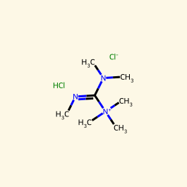 CN=C(N(C)C)[N+](C)(C)C.Cl.[Cl-]